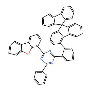 c1ccc(-c2nc(-c3ccccc3-c3cccc4c3-c3ccccc3C43c4ccccc4-c4ccccc43)nc(-c3cccc4c3oc3ccccc34)n2)cc1